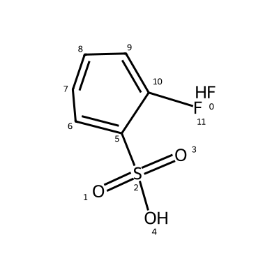 F.O=S(=O)(O)c1ccccc1F